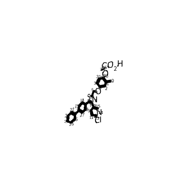 Cc1cc(OCc2nc(-c3ccc(Cl)nc3)c(-c3ccc(-c4ccccc4)cc3)s2)ccc1OCC(=O)O